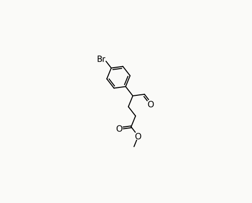 COC(=O)CCC(C=O)c1ccc(Br)cc1